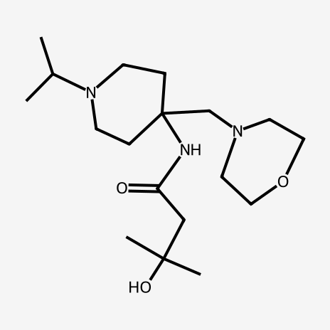 CC(C)N1CCC(CN2CCOCC2)(NC(=O)CC(C)(C)O)CC1